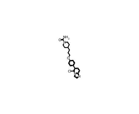 NC(=O)N1CCC(CCCOc2ccc(-c3ccc4nccn4c3Cl)cc2)CC1